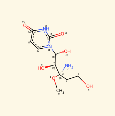 CO[C@](N)(CCO)[C@@H](O)[C@@H](O)n1ccc(=O)[nH]c1=O